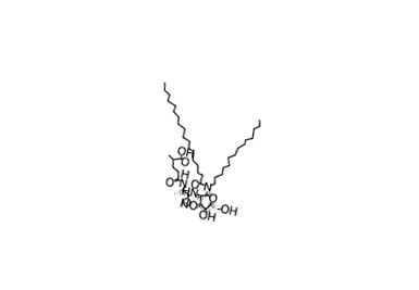 CCCCCCCCCCCCCCCCCC(=O)N(CCCCCCCCCCCCCC)[C@@H]1O[C@H](CO)[C@@H](O)[C@H](O)[C@H]1NC(=O)[C@H](C)NC(=O)CCC(C)C(=O)O